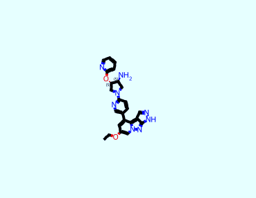 CCOc1cc(-c2ccc(N3C[C@H](Oc4ccccn4)[C@@H](N)C3)nc2)c2c3cn[nH]c3nn2c1